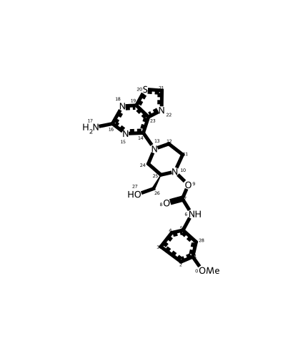 COc1cccc(NC(=O)ON2CCN(c3nc(N)nc4scnc34)C[C@@H]2CO)c1